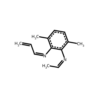 C=C/C=N\c1c(C)ccc(C)c1/N=C\C